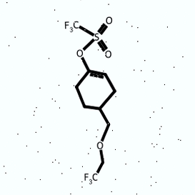 O=S(=O)(OC1=CCC(COCC(F)(F)F)CC1)C(F)(F)F